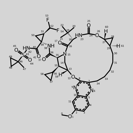 COc1ccc2nc3c(nc2c1)O[C@H]1CN(C(=O)[C@H](C(C)(C)C)NC(=O)O[C@@H]2C[C@H]2CCCCC3)[C@H](C(=O)N[C@]2(C(=O)NS(=O)(=O)C3(C)CC3)C[C@H]2C(F)F)[C@@H]1C1CC1